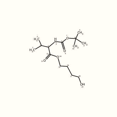 CC(C)C(NC(=O)OC(C)(C)C)C(=O)OCCCCO